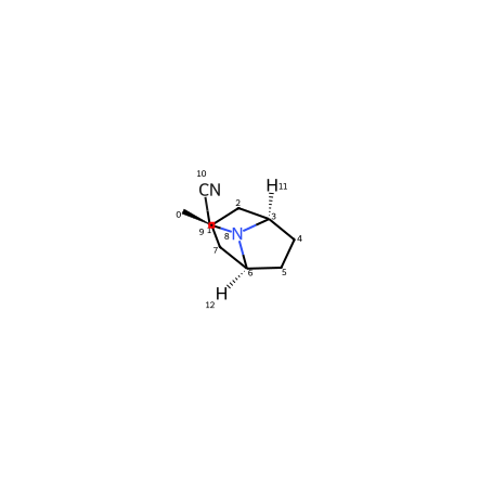 C[C@H]1C[C@H]2CC[C@@H](C1)N2CC#N